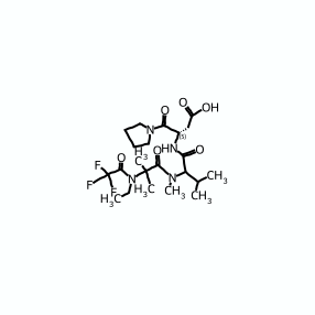 CCN(C(=O)C(F)(F)F)C(C)(C)C(=O)N(C)C(C(=O)N[C@@H](CC(=O)O)C(=O)N1CCCC1)C(C)C